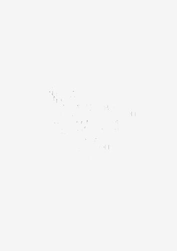 O=C(O)C(O)C(O)C(=O)O.O=C([O-])C(O)C(O)C(=O)[O-].O=S(O)O.[Na+].[Na+]